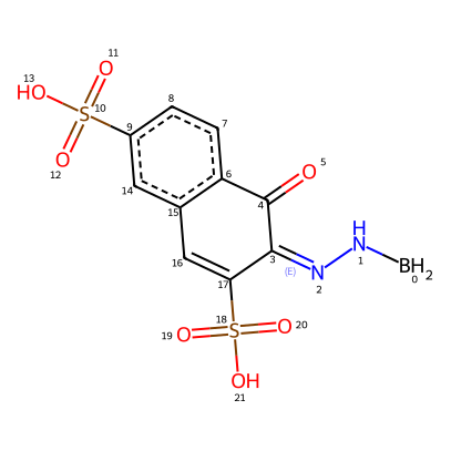 BN/N=C1\C(=O)c2ccc(S(=O)(=O)O)cc2C=C1S(=O)(=O)O